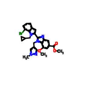 COC(=O)c1cc(OC)c2c(c1)nc(-c1cc3cccc(Br)c3n1CC1CC1)n2Cc1cnn(C)c1